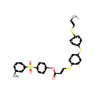 CC=CSc1ccc(Sc2ccc(SC=CC(=O)Oc3ccc(S(=O)(=O)c4cccc(OC(C)=O)c4)cc3)cc2)cc1